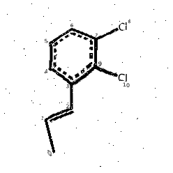 CC=Cc1cccc(Cl)c1Cl